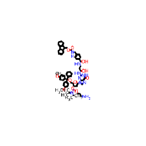 COc1ccc(C(OCC2O[C@@H](n3cnc4c(=O)[nH]c(NC(O)CCNC(O)c5ccc(CNC(=O)OCC6c7ccccc7-c7ccccc76)cc5)nc43)CC2OP(OCCCN)N(C(C)C)C(C)C)(c2ccccc2)c2ccc(OC)cc2)cc1